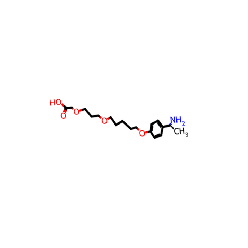 C[C@H](N)c1ccc(OCCCCCOCCCOCC(=O)O)cc1